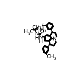 Cc1cccc([C@@H]2CCN3CC[C@@H](c4cccc(F)c4)c4cc(NC(=O)NC(C)(C)C)cc2c43)c1